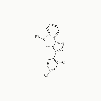 CCSc1ccccc1-c1nnc(-c2ccc(Cl)cc2Cl)n1C